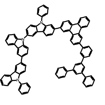 c1ccc(-c2cc(-c3ccccc3)cc(-c3cccc(-c4ccc5c(c4)c4ccccc4c4ccc(-c6ccc7c8cc(-n9c%10ccccc%10c%10cc(-c%11ccc%12c(c%11)c%11ccccc%11n%12-c%11ccccc%11)ccc%109)ccc8n(-c8ccccc8)c7c6)cc45)c3)c2)cc1